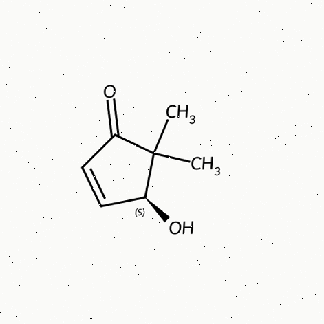 CC1(C)C(=O)C=C[C@@H]1O